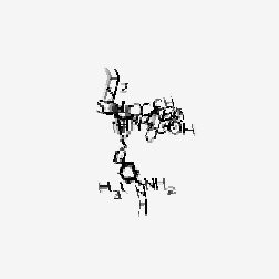 Cc1cc(OCCON=C(C(=O)N[C@@H]2C(=O)N(OS(=O)(=O)O)C2(C)C)c2csc(N)n2)ccc1C(=N)N